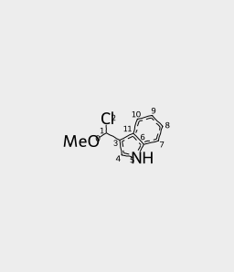 COC(Cl)c1c[nH]c2ccccc12